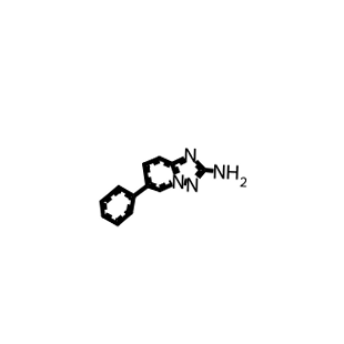 Nc1nc2ccc(-c3ccccc3)cn2n1